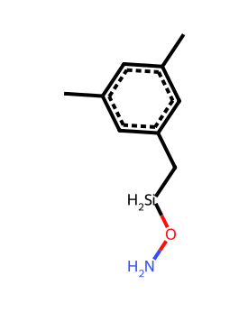 Cc1cc(C)cc(C[SiH2]ON)c1